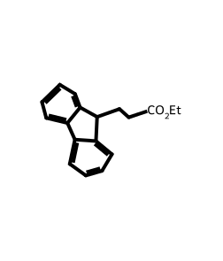 CCOC(=O)CCC1c2ccccc2-c2ccccc21